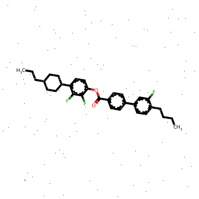 CCCCc1ccc(-c2ccc(C(=O)Oc3ccc(C4CCC(CCC)CC4)c(F)c3F)cc2)cc1F